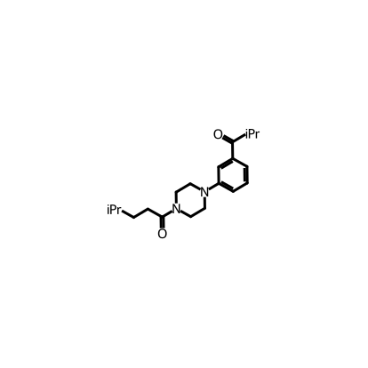 CC(C)CCC(=O)N1CCN(c2cccc(C(=O)C(C)C)c2)CC1